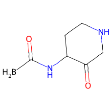 BC(=O)NC1CCNCC1=O